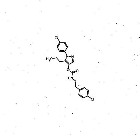 CCCc1c(OC(=O)NCCc2ccc(Cl)cc2)cnn1-c1ccc(Cl)cc1